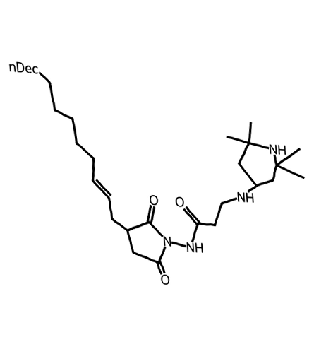 CCCCCCCCCCCCCCCC=CCC1CC(=O)N(NC(=O)CCNC2CC(C)(C)NC(C)(C)C2)C1=O